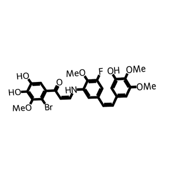 COc1cc(/C=C\c2cc(F)c(OC)c(N/C=C\C(=O)c3cc(O)c(O)c(OC)c3Br)c2)cc(O)c1OC